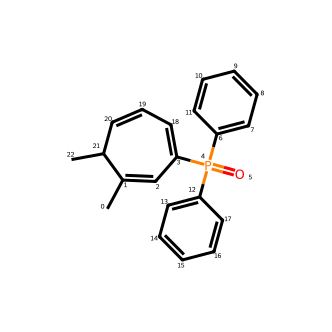 CC1=CC(P(=O)(c2ccccc2)c2ccccc2)=CC=CC1C